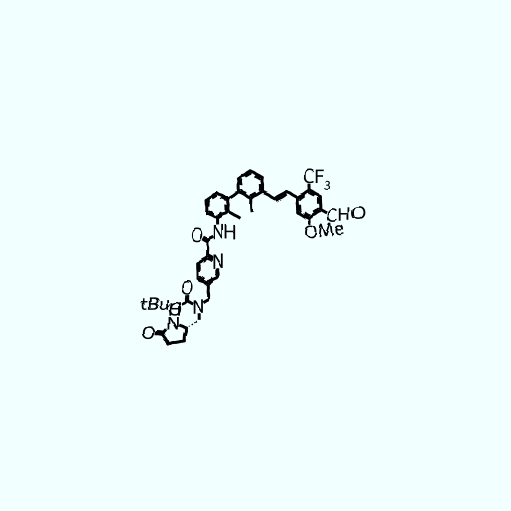 COc1cc(/C=C/c2cccc(-c3cccc(NC(=O)c4ccc(CN(C[C@@H]5CCC(=O)N5)C(=O)OC(C)(C)C)cn4)c3C)c2C)c(C(F)(F)F)cc1C=O